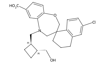 O=C(O)c1ccc2c(c1)N(C[C@@H]1CC[C@H]1CO)CC1(CCCc3cc(Cl)ccc31)CO2